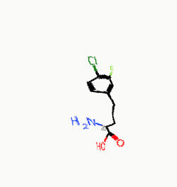 N[C@@H](CCCc1ccc(Cl)c(F)c1)C(=O)O